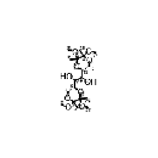 COC1(C)OC[C@H]([C@@H](O)[C@H](O)[C@H]2COC(C)(OC)C(C)(OC)O2)OC1(C)OC